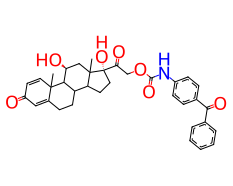 CC12C=CC(=O)C=C1CCC1C2[C@@H](O)CC2(C)C1CC[C@]2(O)C(=O)COC(=O)Nc1ccc(C(=O)c2ccccc2)cc1